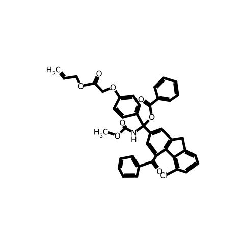 C=CCOC(=O)COc1ccc(C(NC(=O)OC)(OC(=O)c2ccccc2)c2cc3c(c(C(=O)c4ccccc4)c2)-c2c(Cl)cccc2C3)cc1